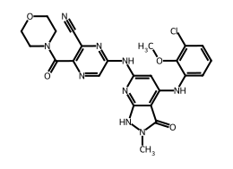 COc1c(Cl)cccc1Nc1cc(Nc2cnc(C(=O)N3CCOCC3)c(C#N)n2)nc2[nH]n(C)c(=O)c12